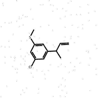 C=C[C](C)c1cc(Cl)cc(SC)c1